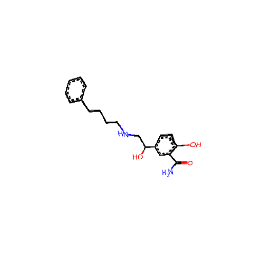 NC(=O)c1cc(C(O)CNCCCCc2ccccc2)ccc1O